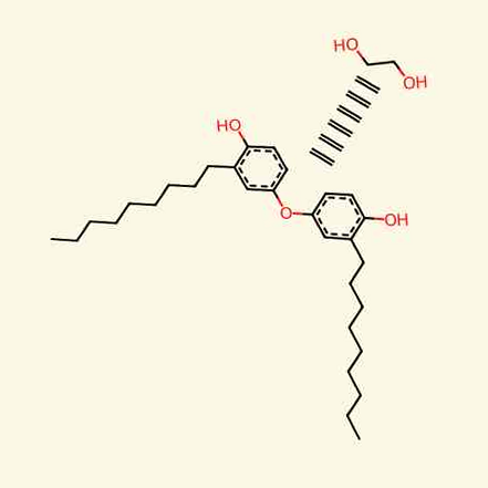 C=C.C=C.C=C.C=C.C=C.C=C.CCCCCCCCCc1cc(Oc2ccc(O)c(CCCCCCCCC)c2)ccc1O.OCCO